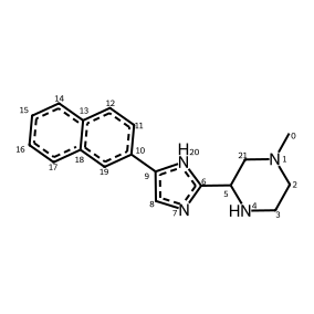 CN1CCNC(c2ncc(-c3ccc4ccccc4c3)[nH]2)C1